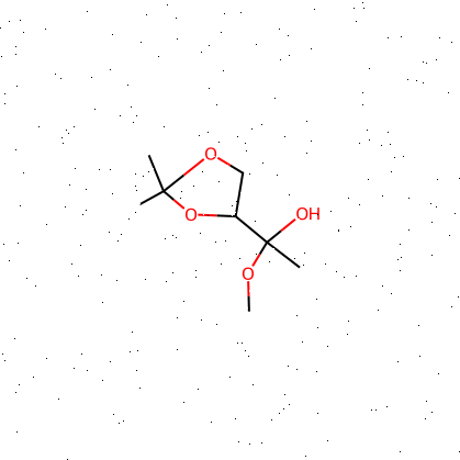 COC(C)(O)C1COC(C)(C)O1